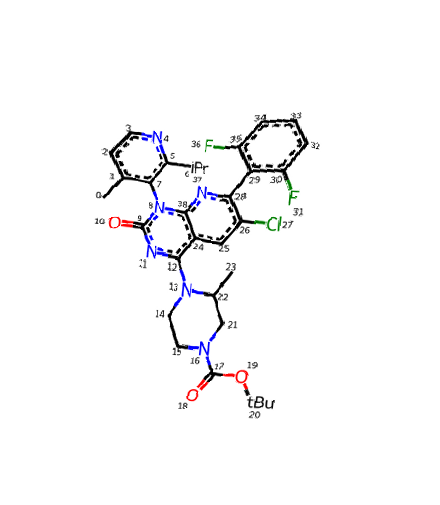 Cc1ccnc(C(C)C)c1-n1c(=O)nc(N2CCN(C(=O)OC(C)(C)C)CC2C)c2cc(Cl)c(-c3c(F)cccc3F)nc21